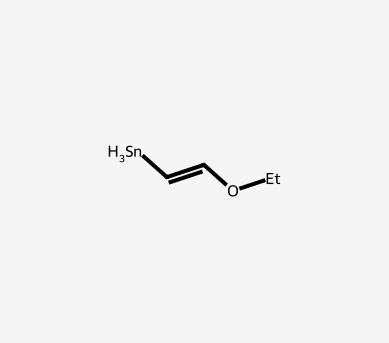 CCOC=[CH][SnH3]